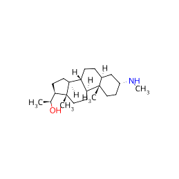 CN[C@@H]1CC[C@@]2(C)[C@@H](CC[C@@H]3[C@@H]2CC[C@]2(C)[C@@H]([C@H](C)O)CC[C@@H]32)C1